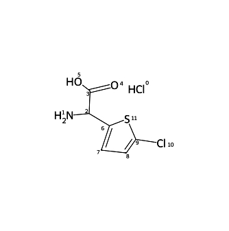 Cl.NC(C(=O)O)c1ccc(Cl)s1